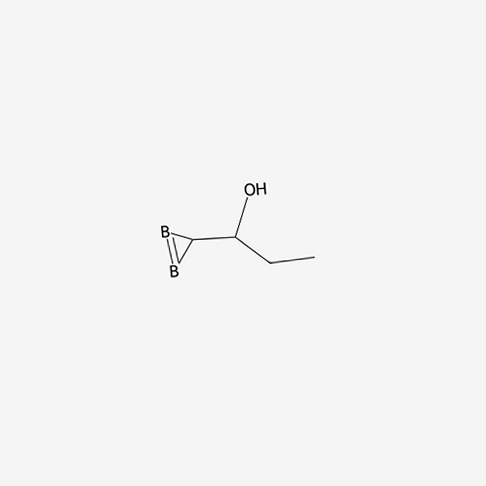 CCC(O)C1B=B1